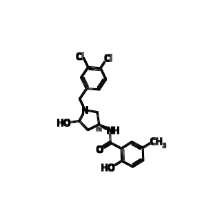 Cc1ccc(O)c(C(=O)N[C@H]2CC(O)N(Cc3ccc(Cl)c(Cl)c3)C2)c1